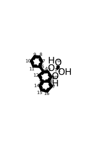 O=CO.Oc1c(-c2ccccc2)cc2ccccc2c1O